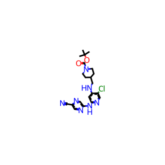 CC(C)(C)OC(=O)N1CCC(CNc2cc(Nc3cnc(C#N)cn3)ncc2Cl)CC1